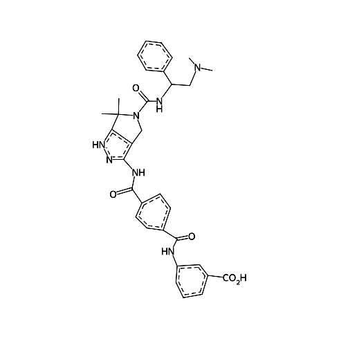 CN(C)CC(NC(=O)N1Cc2c(NC(=O)c3ccc(C(=O)Nc4cccc(C(=O)O)c4)cc3)n[nH]c2C1(C)C)c1ccccc1